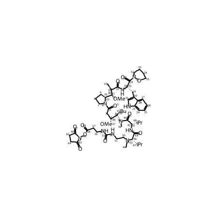 CC[C@H](C)[C@@H]([C@@H](CC(=O)N1CCC[C@H]1[C@H](OC)[C@@H](C)C(=O)N[C@@H](Cc1c[nH]c2ccccc12)C(=O)N1CCCCO1)OC)N(C)C(=O)[C@@H](NC(=O)[C@H](C(C)C)N(C)CCNC(=O)NCCC(=O)ON1C(=O)CCC1=O)C(C)C